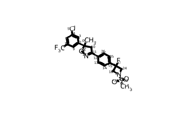 CC1(c2cc(Cl)cc(C(F)(F)F)c2)CC(c2ccc(C3(F)CN(S(C)(=O)=O)C3)cc2)=NO1